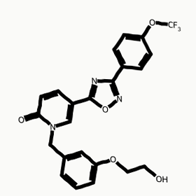 O=c1ccc(-c2nc(-c3ccc(OC(F)(F)F)cc3)no2)cn1Cc1cccc(OCCO)c1